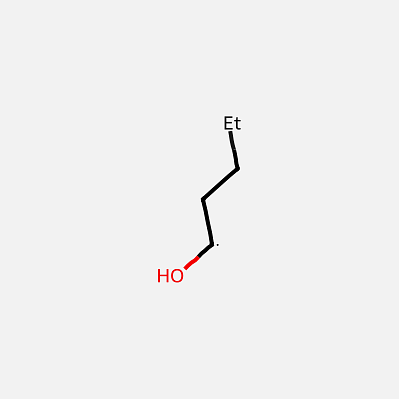 CCCC[CH]O